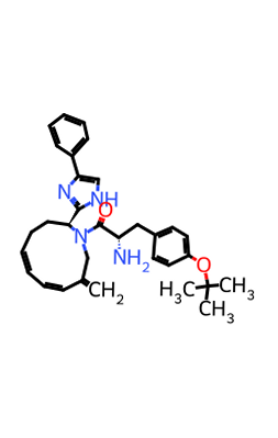 C=C1/C=C\C=C/CC[C@@H](c2nc(-c3ccccc3)c[nH]2)N(C(=O)[C@@H](N)Cc2ccc(OC(C)(C)C)cc2)C1